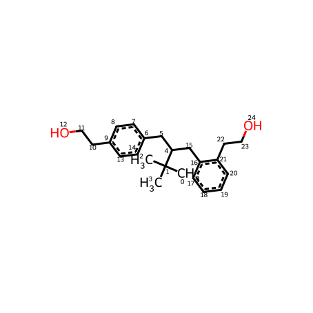 CC(C)(C)C(Cc1ccc(CCO)cc1)Cc1ccccc1CCO